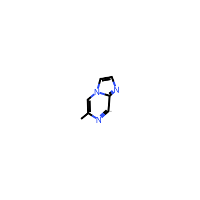 Cc1cn2ccnc2[c]n1